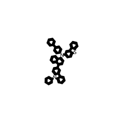 c1ccc(-c2ccc(N(c3ccc4sc5ccccc5c4c3)c3ccc(-c4ccc5c(c4)c4ccccc4n5-c4ccccc4)c4ccccc34)cc2)cc1